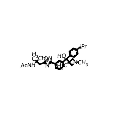 CC(=O)NC(C)(C)Cc1nc(-c2cccc([C@@](O)(c3ccc(C(C)C)cc3)C3(C)CN(C)C3)c2)no1